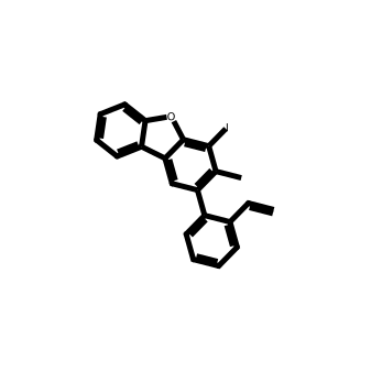 C=Cc1ccccc1-c1cc2c(oc3ccccc32)c(I)c1C